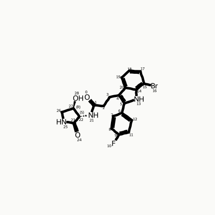 O=C(CCc1c(-c2ccc(F)cc2)[nH]c2c(Br)cccc12)N[C@@H]1C(=O)NC[C@H]1O